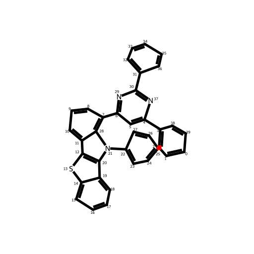 c1ccc(-c2cc(-c3cccc4c5sc6ccccc6c5n(-c5ccccc5)c34)nc(-c3ccccc3)n2)cc1